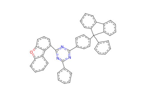 c1ccc(-c2nc(-c3ccc(C4(c5ccccc5)c5ccccc5-c5ccccc54)cc3)nc(-c3cccc4oc5ccccc5c34)n2)cc1